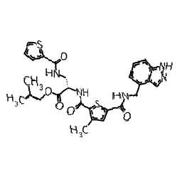 Cc1cc(C(=O)NCc2cccc3[nH]ncc23)sc1C(=O)N[C@@H](CNC(=O)c1cccs1)C(=O)OCC(C)C